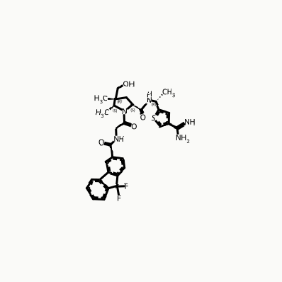 C[C@@H]1N(C(=O)CNC(=O)c2ccc3c(c2)-c2ccccc2C3(F)F)[C@H](C(=O)N[C@H](C)c2cc(C(=N)N)cs2)C[C@@]1(C)CO